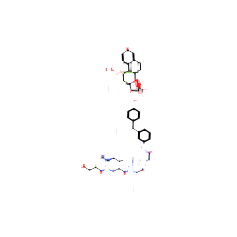 CCCCC(C)SC(CC(=O)O)C(=O)NCCC(=O)N[C@@H](C)C(=O)N[C@@H](C)C(=O)Nc1cccc([C@@H](C)c2ccc([C@@H]3O[C@@H]4C[C@H]5[C@@H]6C[C@H](F)C7=CC(=O)C=C[C@]7(C)[C@@]6(F)[C@@H](O)C[C@]5(C)[C@]4(C(=O)CO)O3)cc2)c1